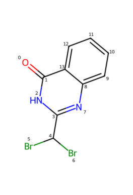 O=c1[nH]c(C(Br)Br)nc2ccccc12